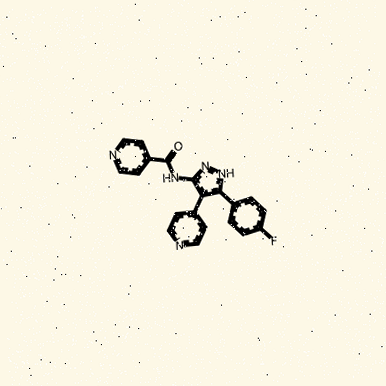 O=C(Nc1n[nH]c(-c2ccc(F)cc2)c1-c1ccncc1)c1ccncc1